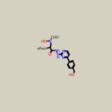 CCCCCC(CN(O)C=O)C(=O)NNc1nccc(-c2ccc(CO)cc2)n1